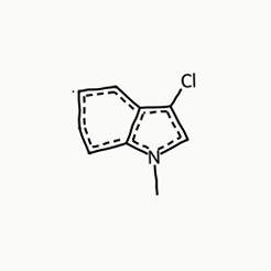 Cn1cc(Cl)c2c[c]ccc21